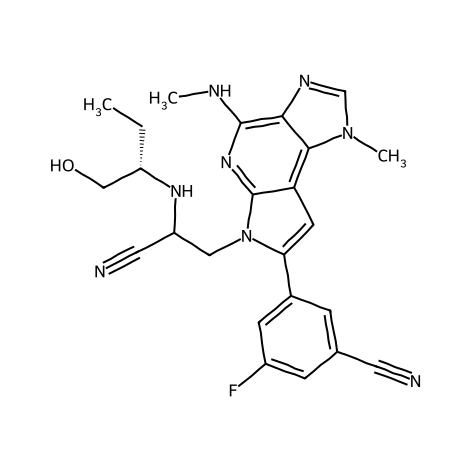 CC[C@@H](CO)NC(C#N)Cn1c(-c2cc(F)cc(C#N)c2)cc2c3c(ncn3C)c(NC)nc21